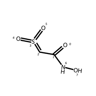 O=C(C=S(=O)=O)NO